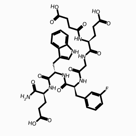 NC(=O)[C@H](CCC(=O)O)NC(=O)[C@H](Cc1c[nH]c2ccccc12)NC(=O)[C@H](Cc1cccc(F)c1)NC(=O)CNC(=O)[C@H](CCC(=O)O)NC(=O)CCC(=O)O